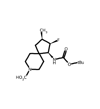 C[C@@H]1CC2(CCN(C(=O)O)CC2)[C@H](NC(=O)OC(C)(C)C)[C@@H]1F